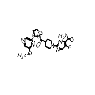 COc1cncc([C@@H]2CCON2C(=O)C2CCN(c3ncc(F)c(C(N)=O)n3)CC2)n1